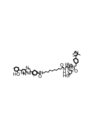 Cc1ncsc1-c1ccc(CNC(=O)[C@@H]2C[C@@H](O)CN2C(=O)[C@@H](NC(=O)CCCCCCCCCNC(=O)c2ccc(CCN(C)c3cc(-c4ccccc4O)nnc3N)cc2)C(C)(C)C)cc1